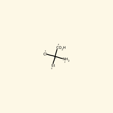 CCC(N)(Cl)C(=O)O